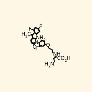 C=C(c1ccc(F)cc1F)c1ccc(=O)n(-c2c(F)cc(OCCCN[C@@H](CCN)C(=O)O)cc2F)c1N